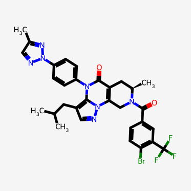 Cc1cnn(-c2ccc(-n3c(=O)c4c(n5ncc(CC(C)C)c35)CN(C(=O)c3ccc(Br)c(C(F)(F)F)c3)[C@H](C)C4)cc2)n1